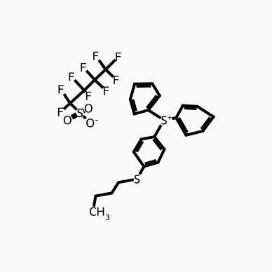 CCCCSc1ccc([S+](c2ccccc2)c2ccccc2)cc1.O=S(=O)([O-])C(F)(F)C(F)(F)C(F)(F)C(F)(F)F